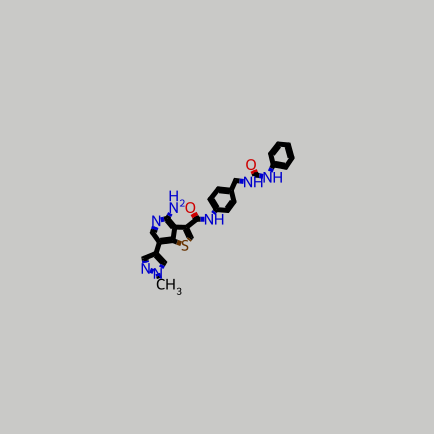 Cn1cc(-c2cnc(N)c3c(C(=O)Nc4ccc(CNC(=O)Nc5ccccc5)cc4)csc23)cn1